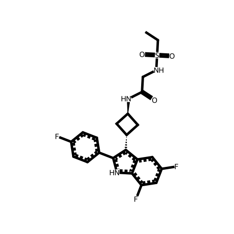 CCS(=O)(=O)NCC(=O)N[C@H]1C[C@H](c2c(-c3ccc(F)cc3)[nH]c3c(F)cc(F)cc32)C1